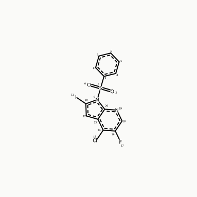 O=S(=O)(c1ccccc1)n1c(I)cc2c(Cl)c(F)cnc21